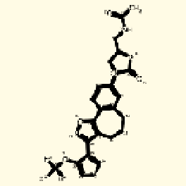 CC(=O)NCC1CN(c2ccc3c(c2)CCCc2c(-c4cscc4OC(F)(F)F)noc2-3)C(=O)O1